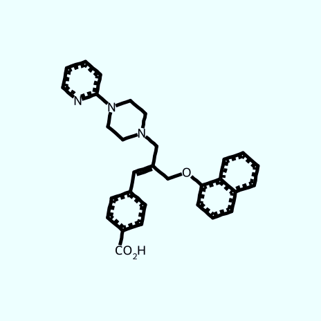 O=C(O)c1ccc(/C=C(\COc2cccc3ccccc23)CN2CCN(c3ccccn3)CC2)cc1